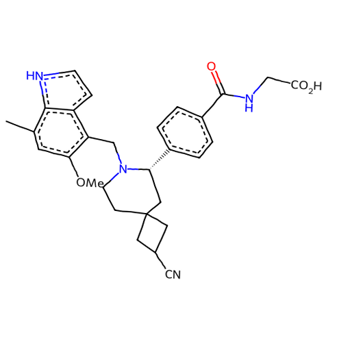 COc1cc(C)c2[nH]ccc2c1CN1CCC2(CC(C#N)C2)C[C@H]1c1ccc(C(=O)NCC(=O)O)cc1